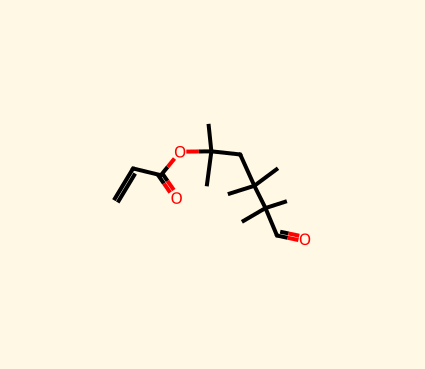 C=CC(=O)OC(C)(C)CC(C)(C)C(C)(C)C=O